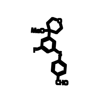 COC1(c2cc(F)cc(Sc3ccc(C=O)cc3)c2)CCOCC1